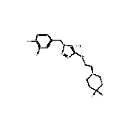 Cl.Fc1ccc(Cn2cc(NCCN3CCC(F)(F)CC3)nn2)cc1F